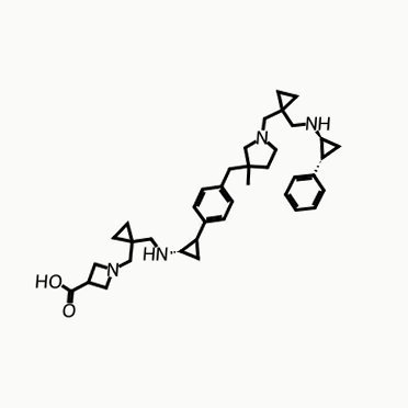 CC1(Cc2ccc(C3C[C@@H]3NCC3(CN4CC(C(=O)O)C4)CC3)cc2)CCN(CC2(CN[C@H]3C[C@@H]3c3ccccc3)CC2)C1